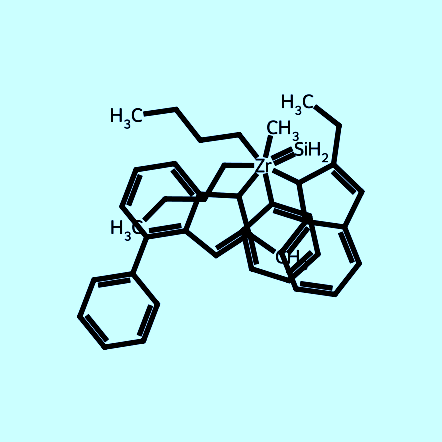 CCC[CH2][Zr]([CH3])(=[SiH2])([CH2]CCC)([c]1ccccc1)([CH]1C(CC)=Cc2ccccc21)[CH]1C(C)=Cc2c(-c3ccccc3)cccc21